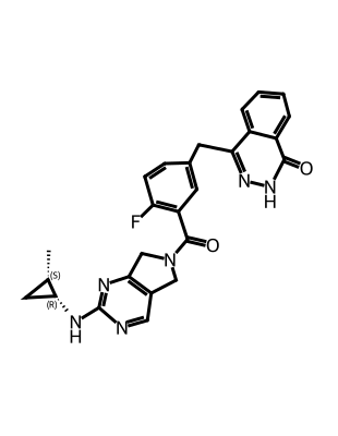 C[C@H]1C[C@H]1Nc1ncc2c(n1)CN(C(=O)c1cc(Cc3n[nH]c(=O)c4ccccc34)ccc1F)C2